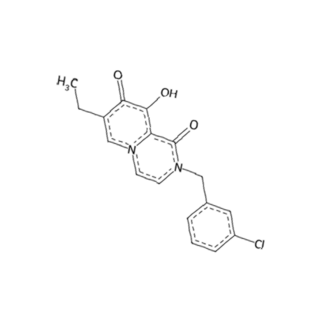 CCc1cn2ccn(Cc3cccc(Cl)c3)c(=O)c2c(O)c1=O